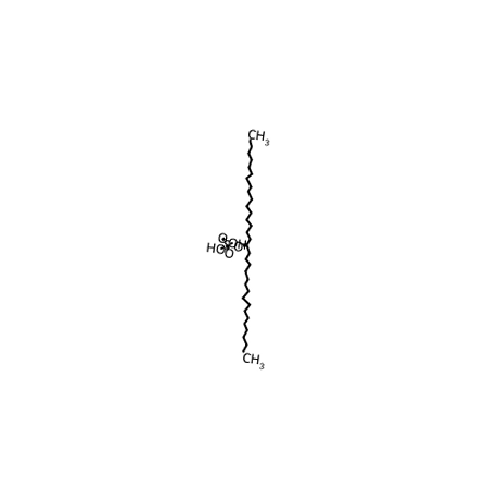 CCCCCCCCCCCCCCCCCC(=O)CCCCCCCCCCCCCCCCC.O=S(=O)(O)O